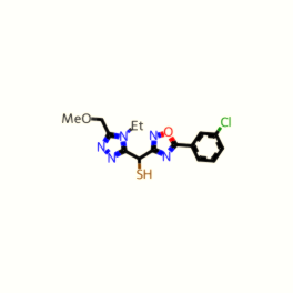 CCn1c(COC)nnc1C(S)c1noc(-c2cccc(Cl)c2)n1